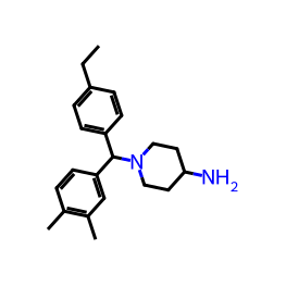 CCc1ccc(C(c2ccc(C)c(C)c2)N2CCC(N)CC2)cc1